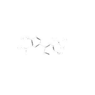 Nc1ccc(-c2ccc(N)c(C(O)(C(F)(F)F)C(F)(F)F)c2)cc1C(C(F)(F)F)C(F)(F)F